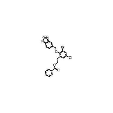 O=C(OCCc1cc(Cl)cc(Br)c1OCc1ccc2nonc2c1)c1ccccc1